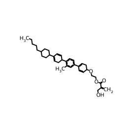 C=C(CO)C(=O)OCCOC1C=CC(c2ccc(C3C=CC(C4CCC(CCCCC)CC4)=CC3)c(C)c2)=CC1